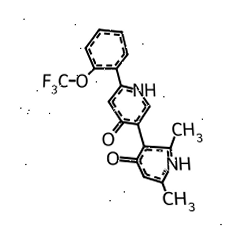 Cc1cc(=O)c(-c2c[nH]c(-c3ccccc3OC(F)(F)F)cc2=O)c(C)[nH]1